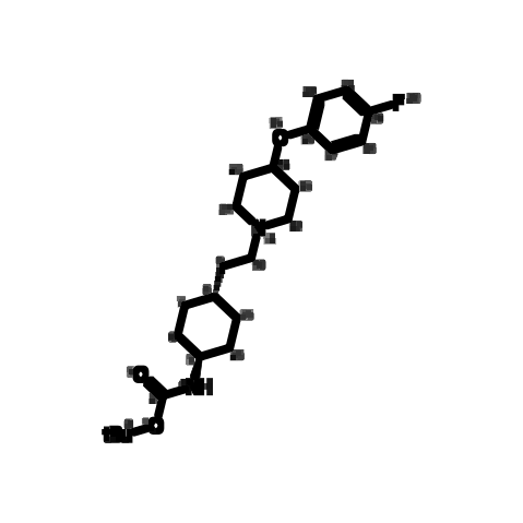 CC(C)(C)OC(=O)N[C@H]1CC[C@H](CCN2CCC(Oc3ccc(F)cc3)CC2)CC1